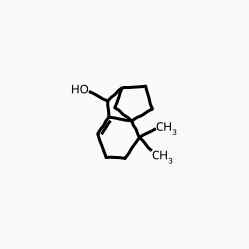 CC1(C)CCC=C2C(O)C3CCC21C3